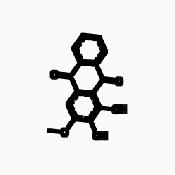 COc1cc2c(c(O)c1O)C(=O)c1ccccc1C2=O